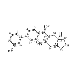 O=c1c2ccc(-c3cccc(F)c3)cc2nc2n1C[C@H]1CCCN1C2